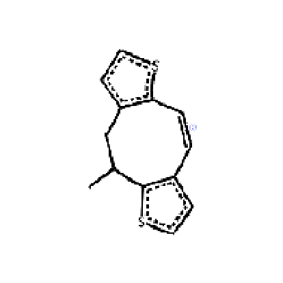 CC1Cc2ccsc2/C=C\c2ccsc21